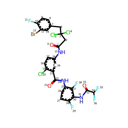 O=C(CC(Cl)(Cl)Cc1ccc(F)c(Br)c1)Nc1ccc(Cl)c(C(=O)Nc2ccc(F)c(NC(=O)C(F)F)c2F)c1